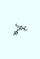 CCOC[C@]1(CCc2csc(C)c2)CCN(C(=O)O)C1